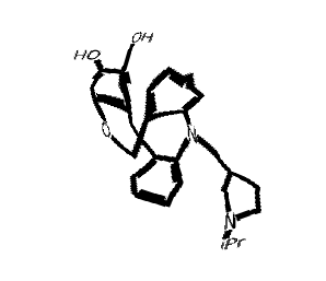 CC(C)N1CCC(CN2c3ccccc3C3(COc4cc(O)c(O)cc43)c3ccccc32)C1